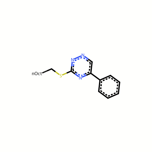 CCCCCCCCCSc1nncc(-c2ccccc2)n1